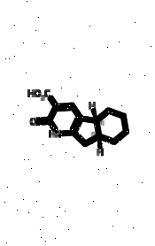 O=C(O)c1cc2c([nH]c1=O)C[C@H]1CCCC[C@@H]21